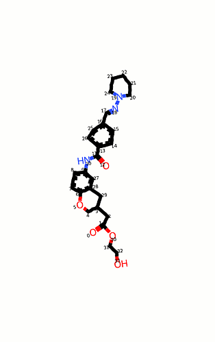 O=C(CC1COc2ccc(NC(=O)c3ccc(C=NN4CCCCC4)cc3)cc2C1)OCCO